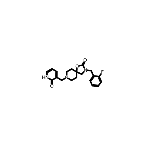 O=C1OC2(CCN(Cc3ccc[nH]c3=O)CC2)CN1Cc1ccccc1F